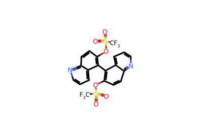 O=S(=O)(Oc1ccc2ncccc2c1-c1c(OS(=O)(=O)C(F)(F)F)ccc2ncccc12)C(F)(F)F